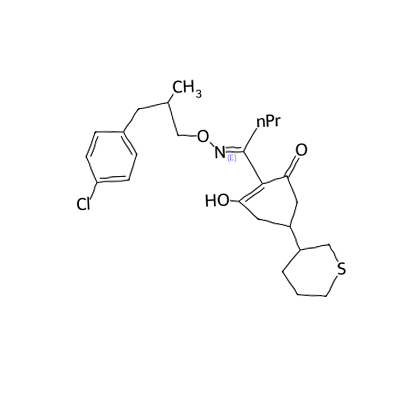 CCC/C(=N\OCC(C)Cc1ccc(Cl)cc1)C1=C(O)CC(C2CCCSC2)CC1=O